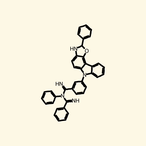 N=C(c1ccccc1)N(C(=N)c1cccc(-n2c3ccccc3c3c4c(ccc32)NC(c2ccccc2)O4)c1)c1ccccc1